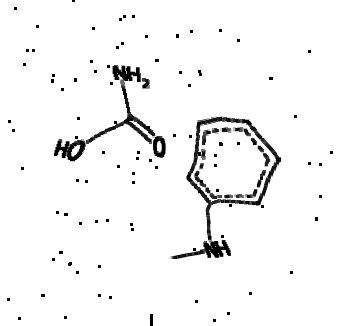 CNc1ccccc1.NC(=O)O